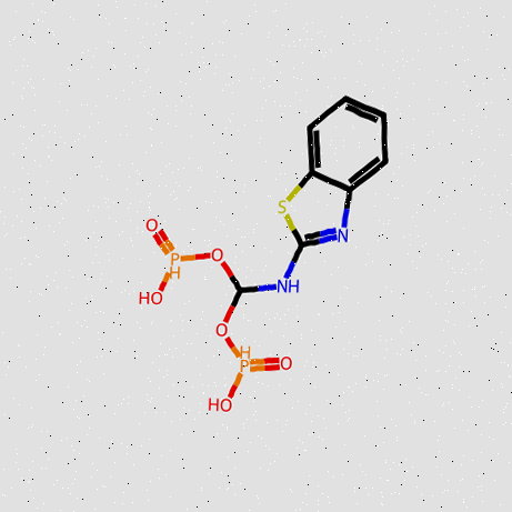 O=[PH](O)OC(Nc1nc2ccccc2s1)O[PH](=O)O